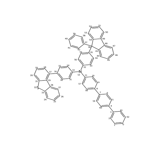 c1ccc(-c2ccc(-c3ccc(N(c4ccc(-c5cccc6sc7ccccc7c56)cc4)c4ccc(C5(c6ccccc6)c6ccccc6-c6ccccc65)cc4)cc3)cc2)cc1